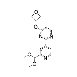 COC(OC)c1cc(-c2nccc(OC3COC3)n2)ccn1